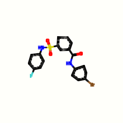 O=C(Nc1ccc(Br)cc1)c1cccc(S(=O)(=O)Nc2ccc(F)cc2)c1